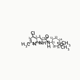 Cc1cc(Cl)c2cc(C(=O)NC3CCC[Si](C)(C)CC3)[nH]c2n1